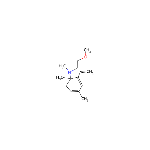 C=CC1=CC(C)=CCC1(C)N(C)CCOC